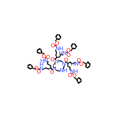 O=C(NCCCC(CCCNC(=O)OCc1ccccc1)C(=O)N1CCNCCN(C(=O)C(CCCNC(=O)OCc2ccccc2)CCCNC(=O)OCc2ccccc2)CCN(C(=O)C(CCCNC(=O)OCc2ccccc2)CCCNC(=O)OCc2ccccc2)CC1)OCc1ccccc1